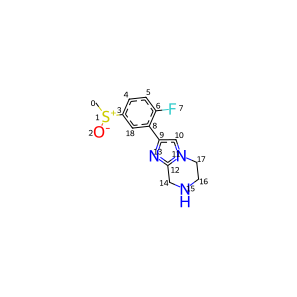 C[S+]([O-])c1ccc(F)c(-c2cn3c(n2)CNCC3)c1